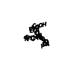 CCc1c(F)ccc2cc(O)cc(N3CCc4c(nc(OC[C@@]56CCCN5C[C@H](F)C6)nc4N4CCCN(c5nccs5)CC4)C3)c12